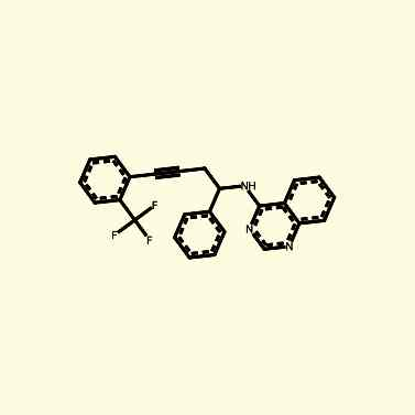 FC(F)(F)c1ccccc1C#CCC(Nc1ncnc2ccccc12)c1ccccc1